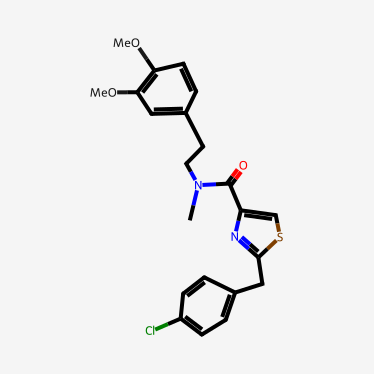 COc1ccc(CCN(C)C(=O)c2csc(Cc3ccc(Cl)cc3)n2)cc1OC